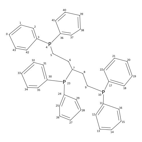 c1ccc(P(CCC(CCP(c2ccccc2)c2ccccc2)P(c2ccccc2)c2ccccc2)c2ccccc2)cc1